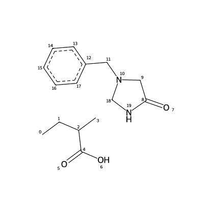 CCC(C)C(=O)O.O=C1CN(Cc2ccccc2)CN1